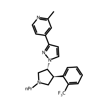 CCCN1C[C@H](c2ccccc2C(F)(F)F)[C@@H](n2ccc(-c3ccnc(C)c3)n2)C1